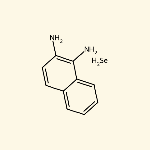 Nc1ccc2ccccc2c1N.[SeH2]